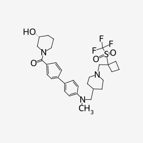 CN(CC1CCN(CC2(S(=O)(=O)C(F)(F)F)CCC2)CC1)c1ccc(-c2ccc(C(=O)N3CCC[C@@H](O)C3)cc2)cc1